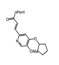 CCCCCC(=O)C=Cc1cc(OC2CCCC2)c(OC)cn1